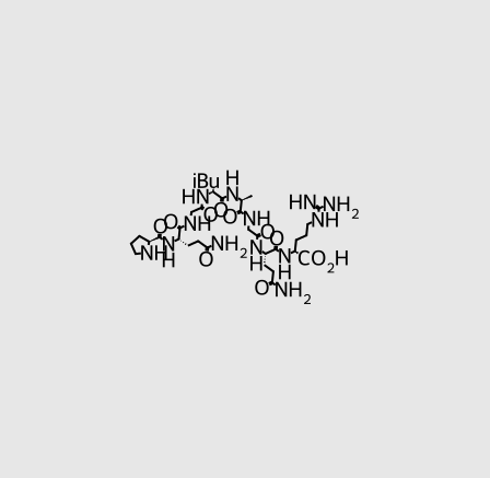 CC[C@H](C)[C@H](NC(=O)CNC(=O)[C@H](CCC(N)=O)NC(=O)[C@@H]1CCCN1)C(=O)N[C@@H](C)C(=O)NCC(=O)N[C@@H](CCC(N)=O)C(=O)N[C@@H](CCCNC(=N)N)C(=O)O